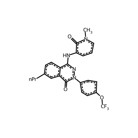 CCCc1ccc2c(Nc3cccn(C)c3=O)nn(-c3ccc(OC(F)(F)F)cc3)c(=O)c2c1